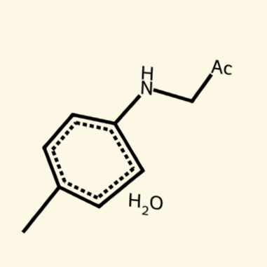 CC(=O)CNc1ccc(C)cc1.O